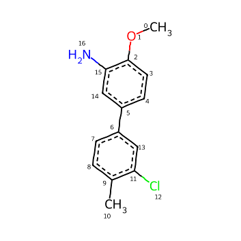 COc1ccc(-c2ccc(C)c(Cl)c2)cc1N